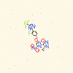 COc1ncnc(C2CC2)c1-c1nc(OCc2ccc(-c3nc(C(F)(F)F)cn3C)c(F)c2)cc(C(=O)N(C)OC)n1